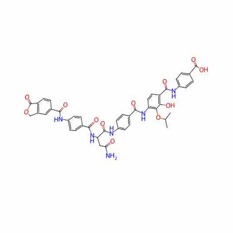 CC(C)Oc1c(NC(=O)c2ccc(NC(=O)C(CC(N)=O)NC(=O)c3ccc(NC(=O)c4ccc5c(c4)COC5=O)cc3)cc2)ccc(C(=O)Nc2ccc(C(=O)O)cc2)c1O